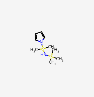 CS(C)(C)NS(C)(C)n1cccc1